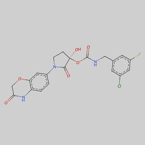 O=C1COc2cc(N3CC[C@@](O)(OC(=O)NCc4cc(F)cc(Cl)c4)C3=O)ccc2N1